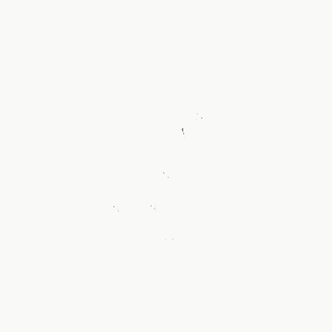 Cc1ccc2c(N3CCC[C@H](CN(Cc4ccccc4)C(=O)O)C3)nc(-c3ccccc3O)nc2c1